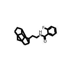 O=C(NCCC1C2C3CC4C5CC(C42)C1C53)c1ccccc1F